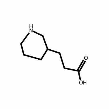 O=C(O)CCC1CCCNC1